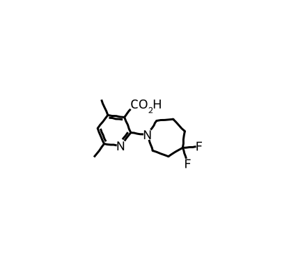 Cc1cc(C)c(C(=O)O)c(N2CCCC(F)(F)CC2)n1